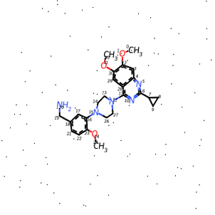 COc1cc2nc(C3CC3)nc(N3CCN(c4cc(CN)ccc4OC)CC3)c2cc1OC